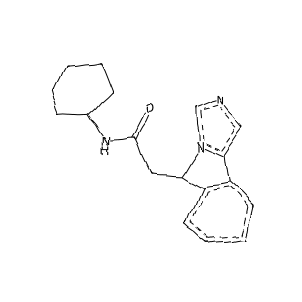 O=C(CC1c2ccccc2-c2cncn21)NC1CCCCC1